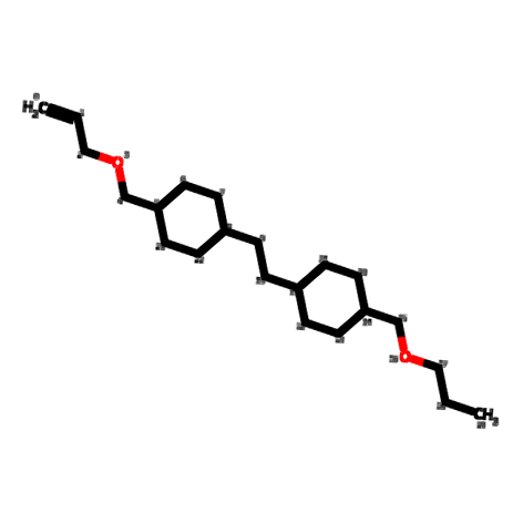 C=CCOCC1CCC(CCC2CCC(COCCC)CC2)CC1